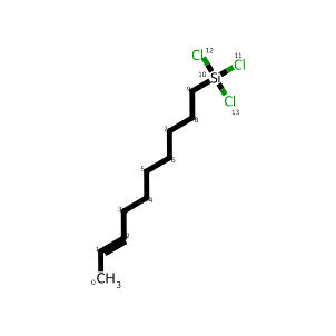 CC=CCCCCCCC[Si](Cl)(Cl)Cl